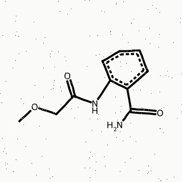 COCC(=O)Nc1ccccc1C(N)=O